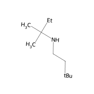 CCC(C)(C)NCCC(C)(C)C